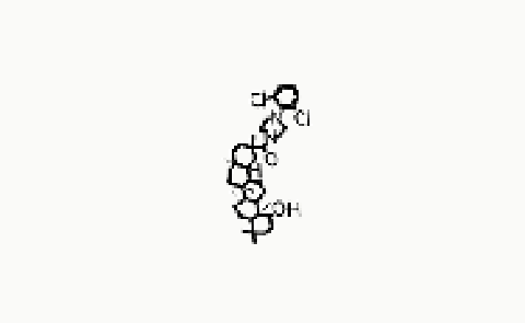 CC1(C(=O)N2CCN(c3c(Cl)cccc3Cl)CC2)CC[C@]2(C)CC[C@]3(C)C(=CCC4[C@@]5(C)C(O)CCC(C)(C)C5CC[C@]43C)[C@@H]2C1